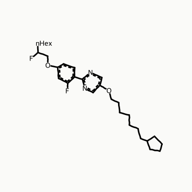 CCCCCCC(F)COc1ccc(-c2ncc(OCCCCCCCC3CCCC3)cn2)c(F)c1